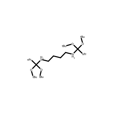 CCCC(OC(C)(C)C)(OC(C)(C)C)[SiH2]CCCC[SiH2]C(CCC)(OC(C)(C)C)OC(C)(C)C